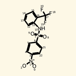 O=[N+]([O-])c1ccc(S(=O)(=O)Nc2ccccc2C(F)(F)F)cc1